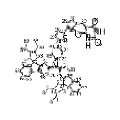 CCCCC1(CCCC)c2ccccc2-c2ccc(N(c3ccc(-c4ccc(-c5ccc(C=C6C(=O)NC(=O)NC6=O)s5)s4)cc3)c3ccc4c(c3)C(CCCC)(CCCC)c3ccccc3-4)cc21